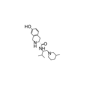 CC1CCCN(CC(NC(=O)[C@H]2Cc3ccc(O)cc3CN2)C(C)C)C1